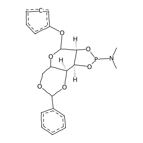 CN(C)P1O[C@@H]2[C@H](O1)C(Oc1ccccc1)OC1COC(c3ccccc3)O[C@@H]12